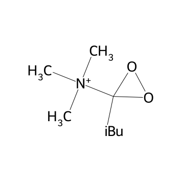 CCC(C)C1([N+](C)(C)C)OO1